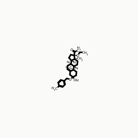 CCO[C@]1(C(C)=O)CC[C@H]2[C@@H]3CC=C4CC(O)(OCc5ccc(C)cc5)CC[C@]4(C)[C@H]3CC[C@@]21C